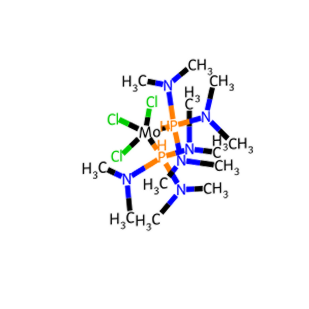 CN(C)[PH](N(C)C)(N(C)C)[Mo]([Cl])([Cl])([Cl])[PH](N(C)C)(N(C)C)N(C)C